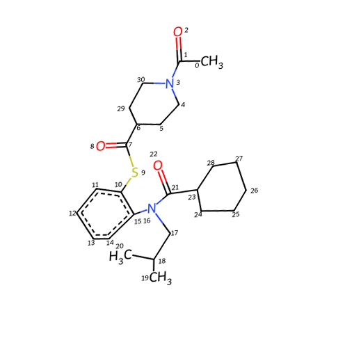 CC(=O)N1CCC(C(=O)Sc2ccccc2N(CC(C)C)C(=O)C2CCCCC2)CC1